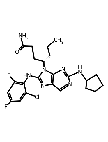 CCC[C@@H](CCC(N)=O)n1c(Nc2c(F)cc(F)cc2Cl)nc2cnc(NC3CCCC3)nc21